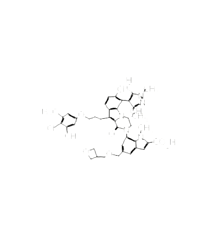 Cc1cc(OCCCc2c3n(c4c(-c5c(C)nn(C)c5C)c(Cl)ccc24)[C@H](C)CN(c2cc(COCC4COC4)cc4cc(C(=O)O)n(C)c24)C3=O)cc(C)c1Cl